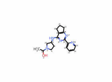 CC(O)N1CCC(Nc2nc(-c3ccccn3)nc3c2CCC3)C1